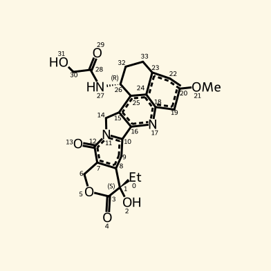 CC[C@@]1(O)C(=O)OCc2c1cc1n(c2=O)Cc2c-1nc1cc(OC)cc3c1c2[C@H](NC(=O)CO)CC3